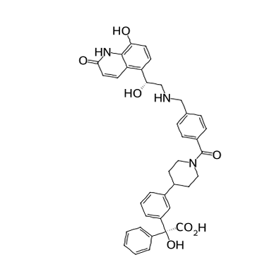 O=C(c1ccc(CNC[C@H](O)c2ccc(O)c3[nH]c(=O)ccc23)cc1)N1CCC(c2cccc([C@](O)(C(=O)O)c3ccccc3)c2)CC1